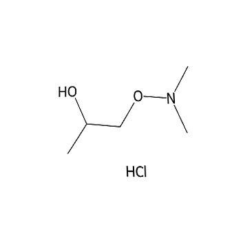 CC(O)CON(C)C.Cl